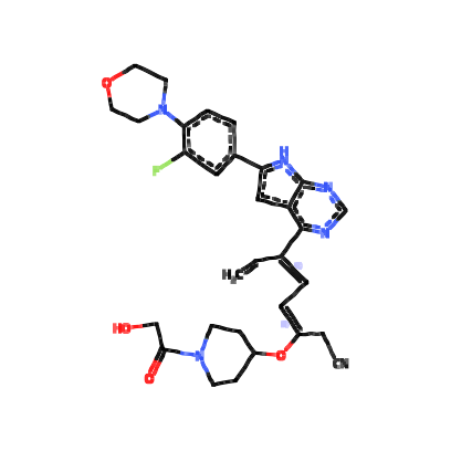 C=C/C(=C\C=C(/CC#N)OC1CCN(C(=O)CO)CC1)c1ncnc2[nH]c(-c3ccc(N4CCOCC4)c(F)c3)cc12